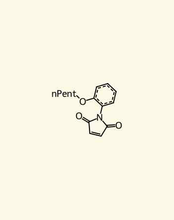 CCCCCOc1ccccc1N1C(=O)C=CC1=O